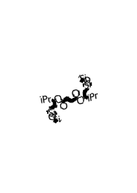 CC(C)C(CC[Si](C)(C)O[Si](C)(C)C)OC(=O)/C=C/C(=O)OC(CC[Si](C)(C)O[Si](C)(C)C)C(C)C